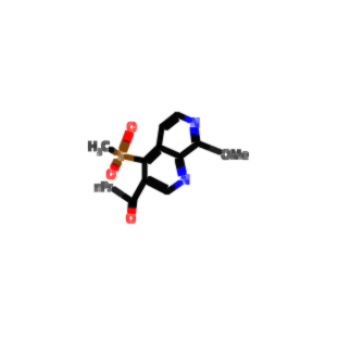 CCCC(=O)c1cnc2c(OC)nccc2c1S(C)(=O)=O